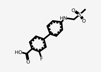 CS(=O)(=O)CNc1ccc(-c2ccc(C(=O)O)c(F)c2)cc1